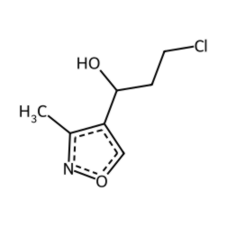 Cc1nocc1C(O)CCCl